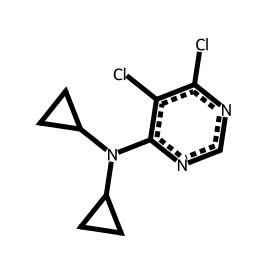 Clc1ncnc(N(C2CC2)C2CC2)c1Cl